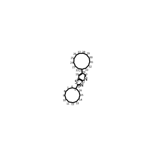 c1nc2nc(C3CCCCCCCCCCC3)sc2cc1C1CCCCCCCCCCCC1